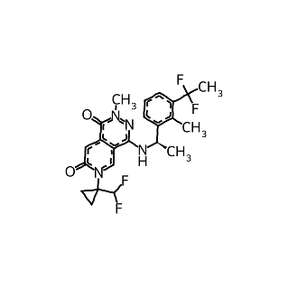 Cc1c([C@@H](C)Nc2nn(C)c(=O)c3cc(=O)n(C4(C(F)F)CC4)cc23)cccc1C(C)(F)F